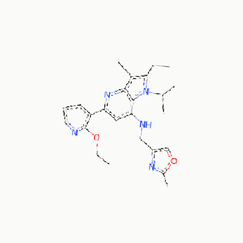 CCOc1ncccc1-c1cc(NCc2coc(C)n2)c2c(n1)c(C)c(CC)n2C(C)C